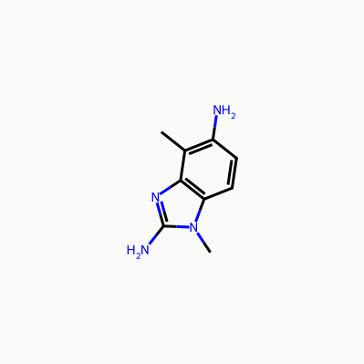 Cc1c(N)ccc2c1nc(N)n2C